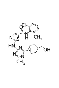 Cc1nc(Nc2ncc(C(=O)Nc3c(C)cccc3Cl)s2)nc(N2CCC(CO)CC2)n1